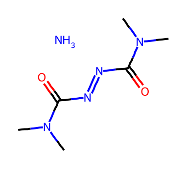 CN(C)C(=O)N=NC(=O)N(C)C.N